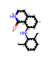 Cc1cccc(C)c1Nc1cccc2cc[nH]c(=O)c12